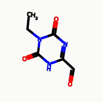 CCn1c(=O)nc(C=O)[nH]c1=O